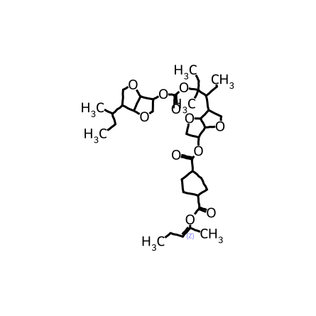 CC/C=C(/C)OC(=O)C1CCC(C(=O)OC2COC3C(C(CC)C(C)(CC)OC(=O)OC4COC5C(C(C)CC)COC45)COC23)CC1